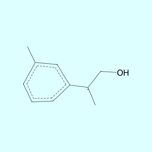 C[C](CO)c1cccc(C)c1